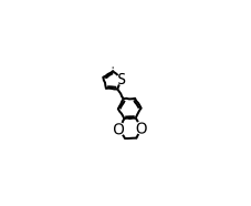 [c]1ccc(-c2ccc3c(c2)OCCO3)s1